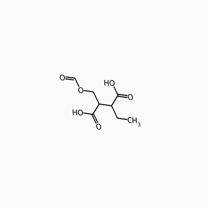 CCC(C(=O)O)C(COC=O)C(=O)O